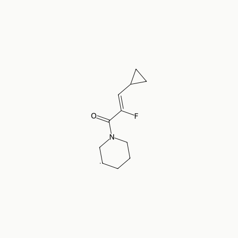 O=C(C(F)=CC1CC1)N1C[CH]CCC1